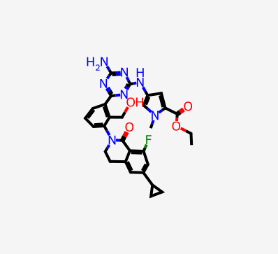 CCOC(=O)c1cc(Nc2nc(N)nc(-c3cccc(N4CCc5cc(C6CC6)cc(F)c5C4=O)c3CO)n2)cn1C